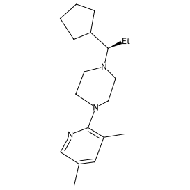 CC[C@H](C1CCCC1)N1CCN(c2ncc(C)cc2C)CC1